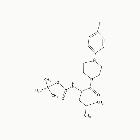 CC(C)CC(NC(=O)OC(C)(C)C)C(=O)N1CCN(c2ccc(F)cc2)CC1